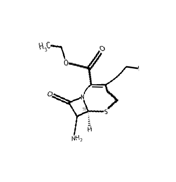 CCOC(=O)C1=C(CI)CS[C@H]2C(N)C(=O)N12